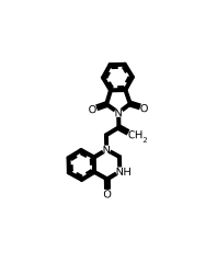 C=C(CN1CNC(=O)c2ccccc21)N1C(=O)c2ccccc2C1=O